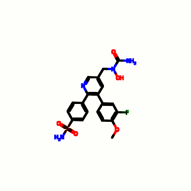 COc1ccc(-c2cc(CN(O)C(N)=O)cnc2-c2ccc(S(N)(=O)=O)cc2)cc1F